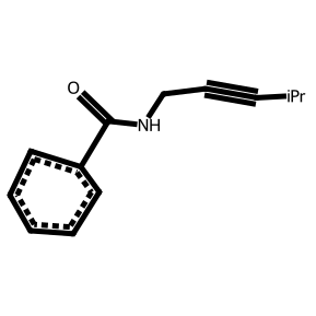 CC(C)C#CCNC(=O)c1ccccc1